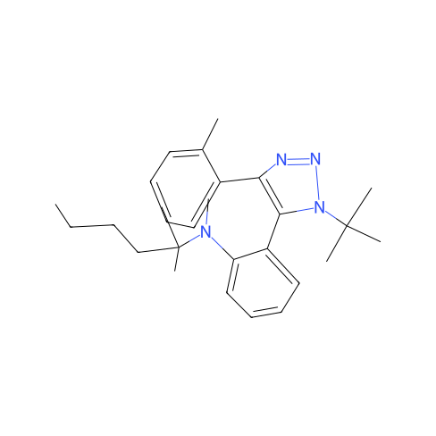 CCCCC(C)(C)N(C)c1ccccc1-c1c(-c2ccccc2C)nnn1C(C)(C)C